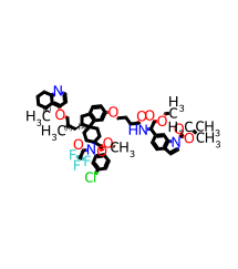 CCOC(=O)C(NC(=O)CCCOc1ccc2c(c1)C1(CCC(C(=O)OC)(N(C(=O)C(F)(F)F)c3cccc(Cl)c3)CC1)[C@@H](C[C@@H](C)COc1ccnc3c1[C@H](C)CCC3)C2)c1ccc2ccn(C(=O)OC(C)(C)C)c2c1